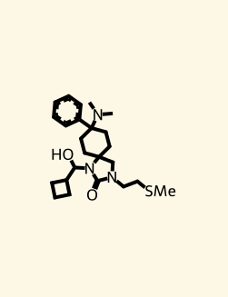 CSCCN1CC2(CCC(c3ccccc3)(N(C)C)CC2)N(C(O)C2CCC2)C1=O